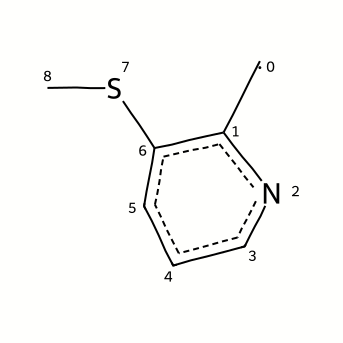 [CH2]c1ncccc1SC